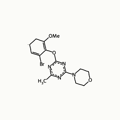 COC1=C(Oc2nc(C)nc(N3CCOCC3)n2)C(Br)=C[CH]C1